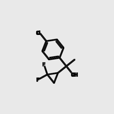 CC(O)(c1ccc(Cl)cc1)C1CC1(F)F